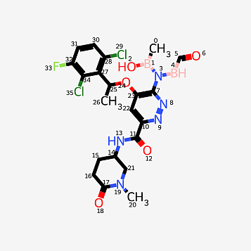 CB(O)N(BC=O)c1nnc(C(=O)NC2CCC(=O)N(C)C2)cc1OC(C)c1c(Cl)ccc(F)c1Cl